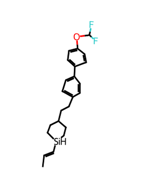 C/C=C/[SiH]1CCC(CCc2ccc(-c3ccc(OC(F)F)cc3)cc2)CC1